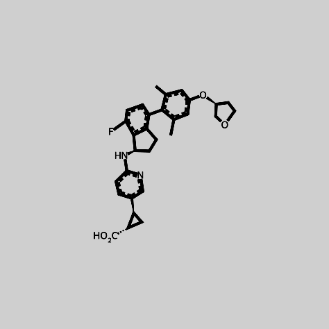 Cc1cc(O[C@H]2CCOC2)cc(C)c1-c1ccc(F)c2c1CC[C@H]2Nc1ccc([C@H]2C[C@@H]2C(=O)O)cn1